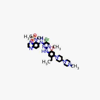 CCc1cc(Nc2ncc(Br)c(Nc3ccc4nccnc4c3N(C)S(C)(=O)=O)n2)c(OC)cc1N1CCC(N2CCN(C)CC2)CC1